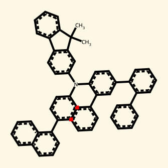 CC1(C)c2ccccc2-c2ccc(N(c3ccc(-c4cccc5ccccc45)cc3)c3ccc(-c4ccccc4-c4ccccc4)cc3-c3ccccc3)cc21